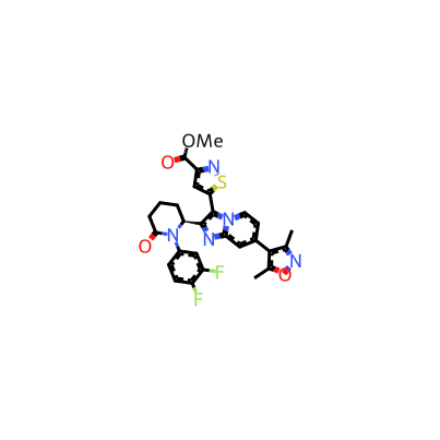 COC(=O)c1cc(-c2c([C@@H]3CCCC(=O)N3c3ccc(F)c(F)c3)nc3cc(-c4c(C)noc4C)ccn23)sn1